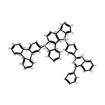 c1ccc(-c2nc(-c3ccc(-n4c5ccccc5c5ccc6c(c7ccccc7n6-c6ccc7c8ccccc8c8ccccc8c7c6)c54)cc3)nc3ccccc23)cc1